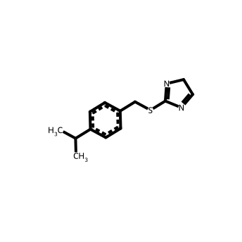 CC(C)c1ccc(CSC2=NCC=N2)cc1